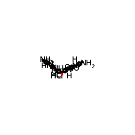 Cl.Cl.NCC1CCC(C(=O)NC2CCN(NC(=O)C3CCC(CC4CCC(C(=O)NN5CCC(NC(=O)C6CCC(CN)CC6)CC5)CC4)CC3)CC2)CC1